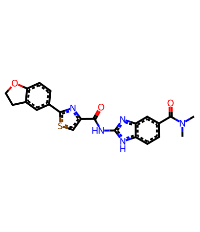 CN(C)C(=O)c1ccc2[nH]c(NC(=O)c3csc(-c4ccc5c(c4)CCO5)n3)nc2c1